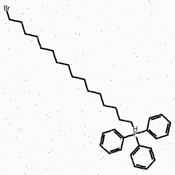 BrCCCCCCCCCCCCCCCC[PH](c1ccccc1)(c1ccccc1)c1ccccc1